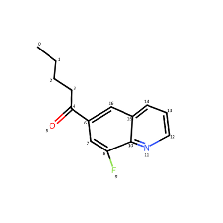 CCCCC(=O)c1cc(F)c2ncccc2c1